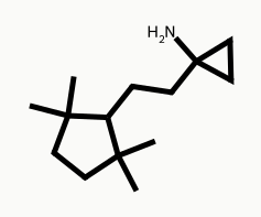 CC1(C)CCC(C)(C)C1CCC1(N)CC1